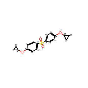 O=S(=O)(c1ccc(OC2CC2)cc1)c1ccc(OC2CC2)cc1